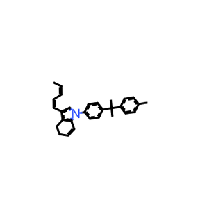 C/C=C\C=C/c1cn(-c2ccc(C(C)(C)c3ccc(C)cc3)cc2)c2c1CCC=C2